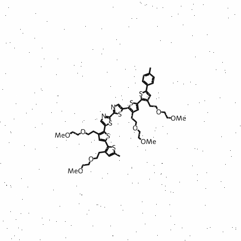 COCCOCCc1cc(C)sc1-c1cc(CCOCCOC)c(-c2cnc(-c3ncc(-c4sc(-c5sc(-c6ccc(C)cc6)cc5CCOCCOC)cc4CCOCCOC)s3)s2)s1